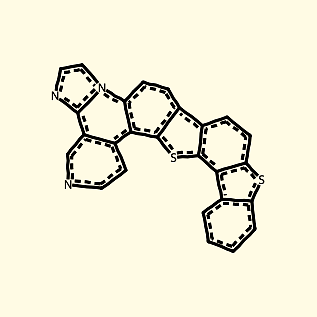 c1ccc2c(c1)sc1ccc3c4ccc5c(c6ccncc6c6nccn56)c4sc3c12